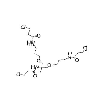 CC(COCCCNC(=O)CCCl)(COCCCNC(=O)CCCl)NC(=O)CCCl